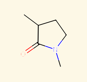 [CH2]N1CCC(C)C1=O